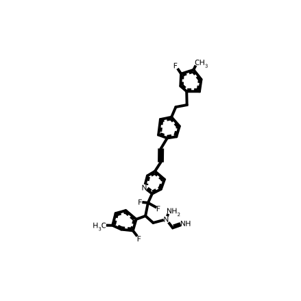 Cc1ccc(C(CN(N)C=N)C(F)(F)c2ccc(C#Cc3ccc(CCc4ccc(C)c(F)c4)cc3)cn2)c(F)c1